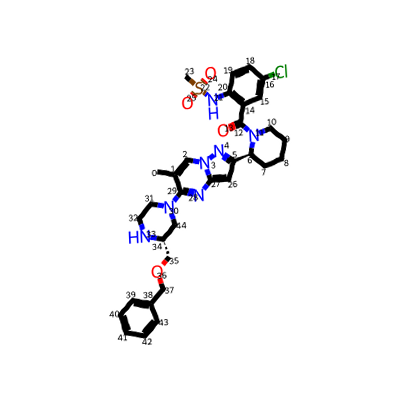 Cc1cn2nc([C@@H]3CCCCN3C(=O)c3cc(Cl)ccc3NS(C)(=O)=O)cc2nc1N1CCN[C@@H](COCc2ccccc2)C1